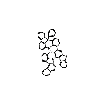 c1ccc(C2(c3ccccc3)c3ccccc3N3B4c5c(cc6sc7ccccc7c6c5-n5c6ccc7ccccc7c6c6cccc4c65)-c4cccc2c43)cc1